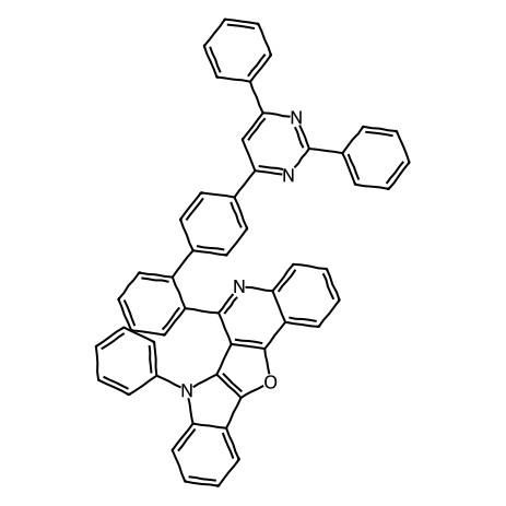 c1ccc(-c2cc(-c3ccc(-c4ccccc4-c4nc5ccccc5c5oc6c7ccccc7n(-c7ccccc7)c6c45)cc3)nc(-c3ccccc3)n2)cc1